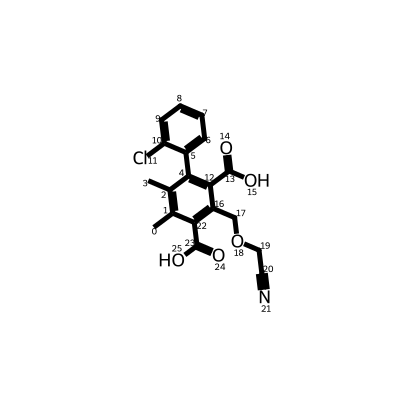 Cc1c(C)c(-c2ccccc2Cl)c(C(=O)O)c(COCC#N)c1C(=O)O